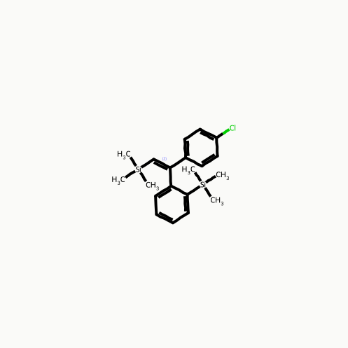 C[Si](C)(C)/C=C(/c1ccc(Cl)cc1)c1ccccc1[Si](C)(C)C